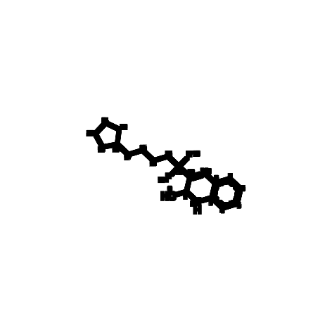 OC1Nc2ccccc2N=C1C(F)(F)CCCCC1CCCC1